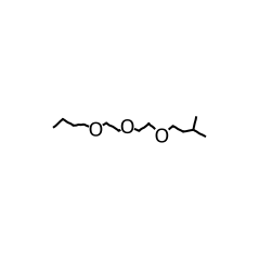 CCCCOCCOCCOCCC(C)C